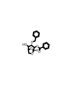 O=C(OC1[C@@H]2OCC(O2)C(O)[C@@H]1OCc1ccccc1)c1ccccc1